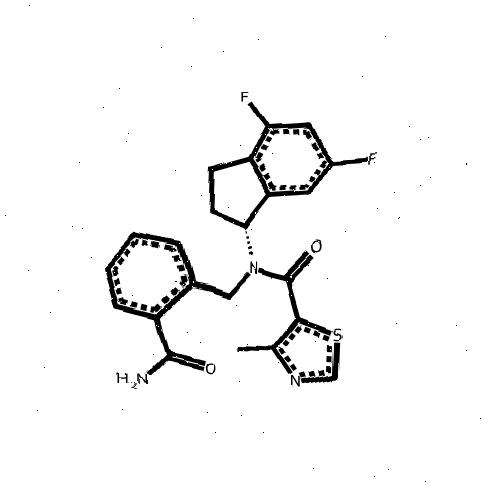 Cc1ncsc1C(=O)N(Cc1ccccc1C(N)=O)[C@@H]1CCc2c(F)cc(F)cc21